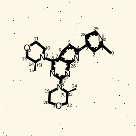 Cc1cc(-c2ccc3c(N4CCOC[C@@H]4C)nc(N4CCOC[C@@H]4C)nc3n2)ccn1